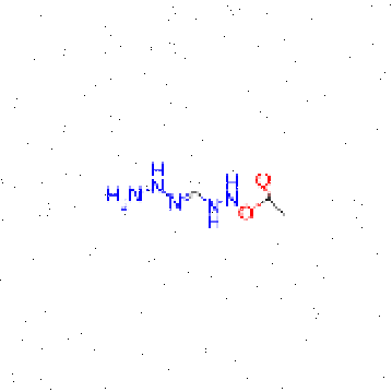 CC(=O)ONNC=NNN